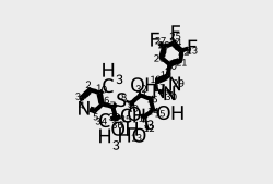 Cc1ccncc1C(S[C@@H]1O[C@H](CO)[C@H](O)[C@H](n2cc(-c3cc(F)c(F)c(F)c3)nn2)[C@H]1O)C(C)(C)O